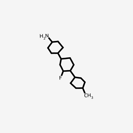 CC1CCC(C2CCC(C3CCC(N)CC3)CC2F)CC1